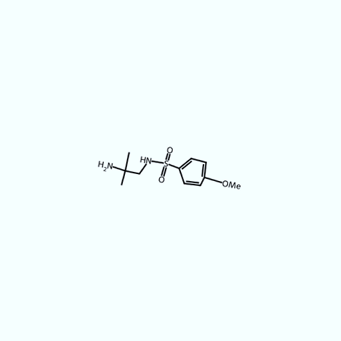 COc1ccc(S(=O)(=O)NCC(C)(C)N)cc1